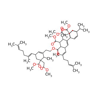 COC(=O)CC1(C(=O)OC)CC(/C=C(\C)CCC=C(C)C)C=C(CCOC(=O)C2C(/C=C(\C)CCC=C(C)C)C=C(C34C=CC(C(C)C)(CC3)CC4(CC(=O)OC)C(=O)OC)C(C)C2C(=O)OC)C1C